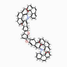 c1ccc2c(c1)ccc1cccc(N(c3ccc4cc5c(cc4c3)oc3c5ccc4oc5cc6cc(N(c7cccc8ccc9ccccc9c78)c7cccc8ccc9ccccc9c78)ccc6cc5c43)c3cccc4ccc5ccccc5c34)c12